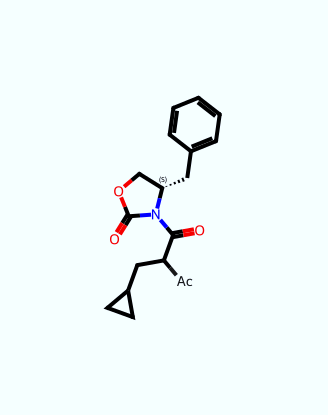 CC(=O)C(CC1CC1)C(=O)N1C(=O)OC[C@@H]1Cc1ccccc1